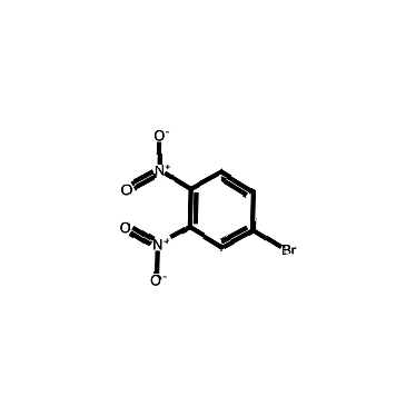 O=[N+]([O-])c1[c]cc(Br)[c]c1[N+](=O)[O-]